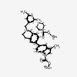 Cc1cc(CN2CCc3cc(-c4cnc5c(c4)c(C)cn5C(=O)OC(C)(C)C)cc([C@@H]4COCCN4C(=O)OC(C)(C)C)c3C2)cc(C)n1